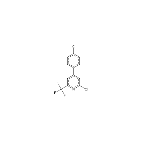 FC(F)(F)c1cc(-c2ccc(Cl)cc2)cc(Cl)n1